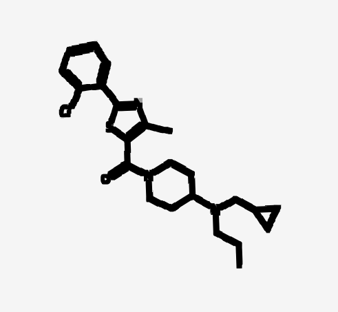 CCCN(CC1CC1)C1CCN(C(=O)c2sc(-c3ccccc3Cl)nc2C)CC1